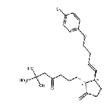 O=C(CCC[C@H]1C(=O)CC[C@@H]1/C=C/CCOc1ccc(Cl)cc1)CC(O)(O)C(=O)O